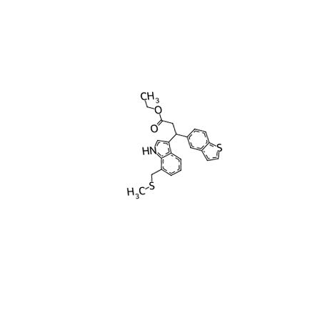 CCOC(=O)CC(c1ccc2sccc2c1)c1c[nH]c2c(CSC)cccc12